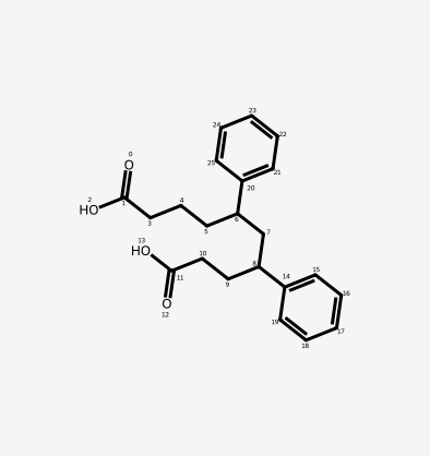 O=C(O)CCCC(CC(CCC(=O)O)c1ccccc1)c1ccccc1